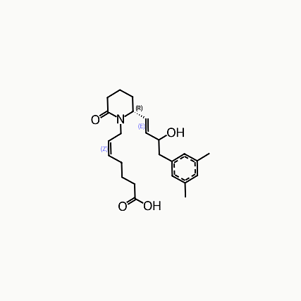 Cc1cc(C)cc(CC(O)/C=C/[C@H]2CCCC(=O)N2C/C=C\CCCC(=O)O)c1